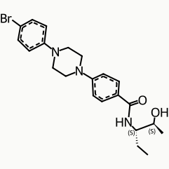 CC[C@H](NC(=O)c1ccc(N2CCN(c3ccc(Br)cc3)CC2)cc1)[C@H](C)O